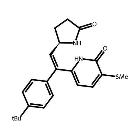 CSc1ccc(/C(=C\[C@H]2CCC(=O)N2)c2ccc(C(C)(C)C)cc2)[nH]c1=O